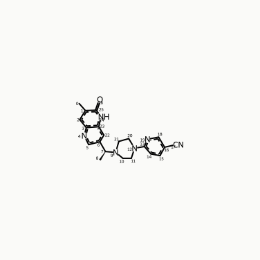 Cc1cc2ncc([C@H](C)N3CCN(c4ccc(C#N)cn4)CC3)cc2[nH]c1=O